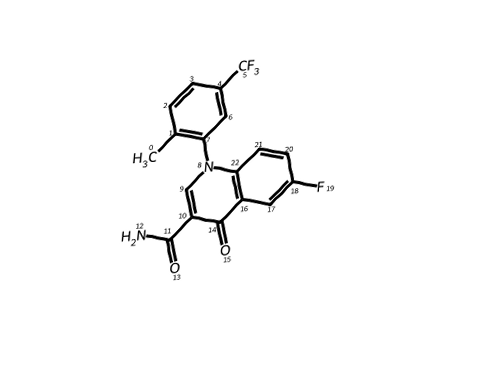 Cc1ccc(C(F)(F)F)cc1-n1cc(C(N)=O)c(=O)c2cc(F)ccc21